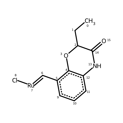 CCC1Oc2c([CH]=[Ru][Cl])cccc2NC1=O